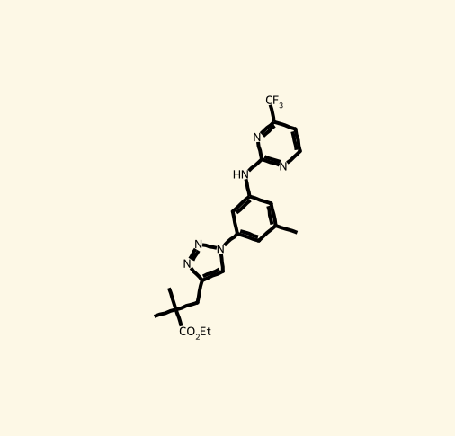 CCOC(=O)C(C)(C)Cc1cn(-c2cc(C)cc(Nc3nccc(C(F)(F)F)n3)c2)nn1